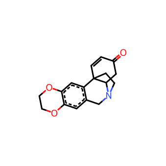 O=C1C=CC23CCN(Cc4cc5c(cc42)OCCO5)C3C1